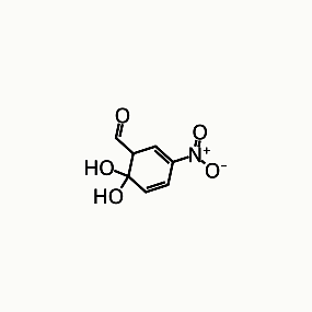 O=CC1C=C([N+](=O)[O-])C=CC1(O)O